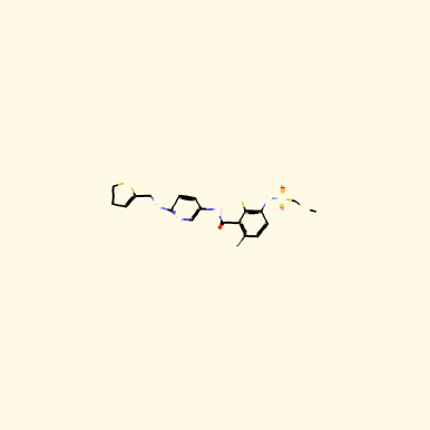 CCCS(=O)(=O)Nc1ccc(Cl)c(C(=O)Nc2ccc(NCC3=CCCS3)nc2)c1F